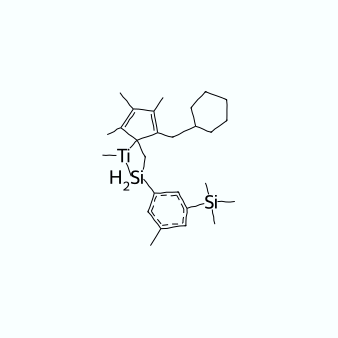 CC1=C(C)[C](C[SiH2]c2cc(C)cc([Si](C)(C)C)c2)([Ti]([CH3])[CH3])C(CC2CCCCC2)=C1C